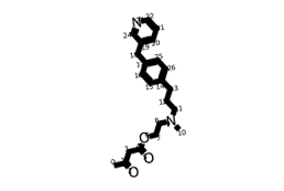 CC(=O)CC(=O)OCCN(C)CCCc1ccc(Cc2cccnc2)cc1